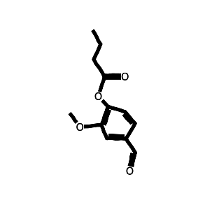 CCCC(=O)Oc1ccc(C=O)cc1OC